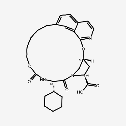 O=C1N[C@@H](C2CCCCC2)C(=O)N2C[C@@H](C[C@H]2C(=O)O)Oc2nccc3ccc(cc23)CCCCCO1